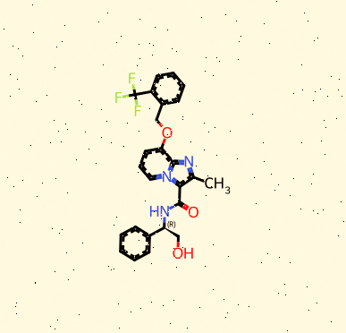 Cc1nc2c(OCc3ccccc3C(F)(F)F)cccn2c1C(=O)N[C@@H](CO)c1ccccc1